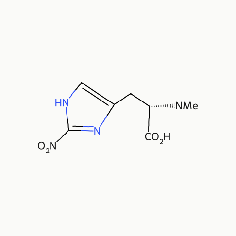 CN[C@@H](Cc1c[nH]c([N+](=O)[O-])n1)C(=O)O